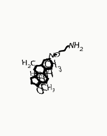 C=C1C[C@@H]2[C@H](CC[C@]3(C)C(=O)CC[C@@H]23)[C@@]2(C)CCC(=NOCCCN)CC12